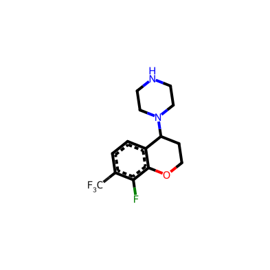 Fc1c(C(F)(F)F)ccc2c1OCCC2N1CCNCC1